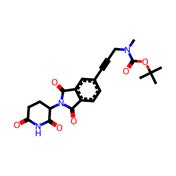 CN(CC#Cc1ccc2c(c1)C(=O)N(C1CCC(=O)NC1=O)C2=O)C(=O)OC(C)(C)C